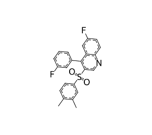 Cc1ccc(S(=O)(=O)c2cnc3ccc(F)cc3c2-c2cccc(F)c2)cc1C